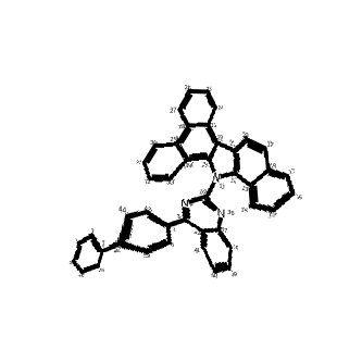 c1ccc(-c2ccc(-c3nc(-n4c5c6ccccc6ccc5c5c6ccccc6c6ccccc6c54)nc4ccccc34)cc2)cc1